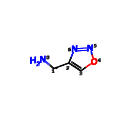 N[CH]c1conn1